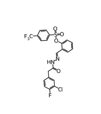 O=C(Cc1ccc(F)c(Cl)c1)NN=Cc1ccccc1OS(=O)(=O)c1ccc(C(F)(F)F)cc1